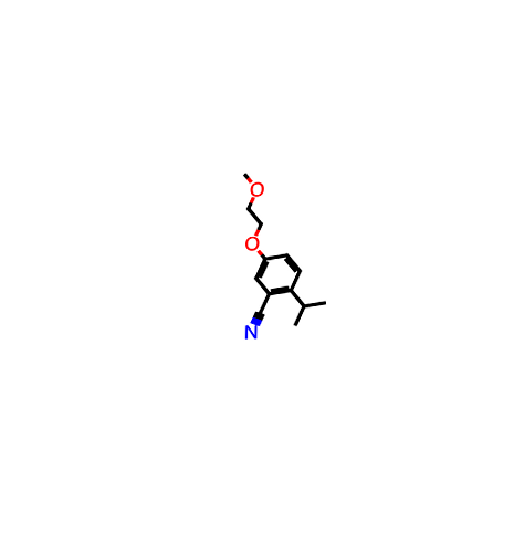 COCCOc1ccc(C(C)C)c(C#N)c1